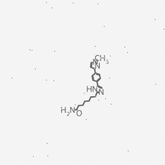 Cn1ccc(-c2ccc(-c3cnc(CCCCCCC(N)=O)[nH]3)cc2)n1